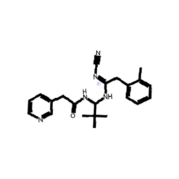 Cc1ccccc1C/C(=N\C#N)NC(NC(=O)Cc1cccnc1)C(C)(C)C